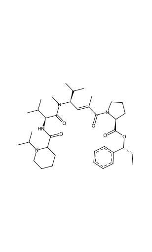 CC[C@@H](OC(=O)[C@@H]1CCCN1C(=O)/C(C)=C/[C@H](C(C)C)N(C)C(=O)[C@@H](NC(=O)C1CCCCN1C(C)C)C(C)C)c1ccccc1